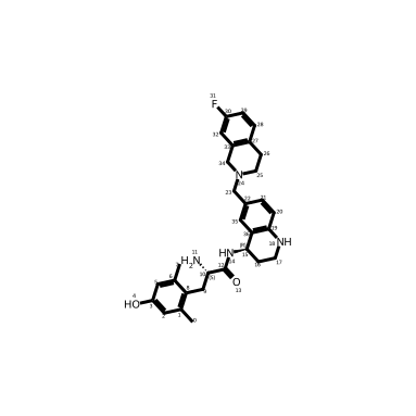 Cc1cc(O)cc(C)c1C[C@H](N)C(=O)N[C@@H]1CCNc2ccc(CN3CCc4ccc(F)cc4C3)cc21